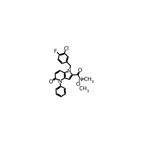 CON(C)C(=O)c1cc2c(ccc(=O)n2-c2ccccc2)n1Cc1ccc(F)c(Cl)c1